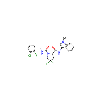 CC(=O)n1cc(NC(=O)C2CC(F)(F)CN2C(=O)NCc2cccc(Cl)c2F)c2ccccc21